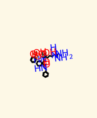 N=C(N)NCCCC(NC(=O)C1(C(=O)NCc2ccccc2)CCCCC1)B(O)O.O=S(=O)(O)c1ccccc1